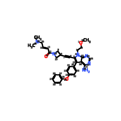 COCCn1c(C#CC2CN(C(=O)/C=C/CN(C)C)C2)c(-c2ccc(Oc3ccccc3)cc2)c2c(N)ncnc21